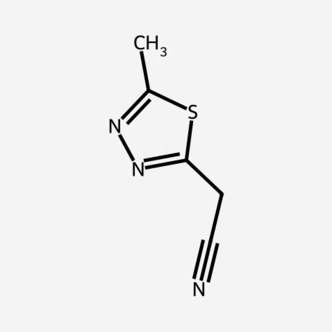 Cc1nnc(CC#N)s1